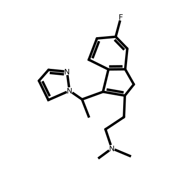 CC(C1=C(CCN(C)C)Cc2cc(F)ccc21)n1cccn1